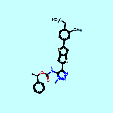 COc1cc(-c2cc3sc(-c4nnn(C)c4NC(=O)O[C@H](C)c4ccccc4)cc3s2)ccc1CC(=O)O